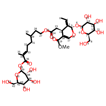 C/C=C1/[C@H](O[C@@H]2O[C@H](CO)[C@@H](O)[C@H](O)[C@H]2O)OC=C(C(=O)OC)[C@H]1CC(=O)OCCC(C)CC/C=C(\C)C(=O)O[C@@H]1O[C@H](CO)[C@@H](O)[C@H](O)[C@H]1O